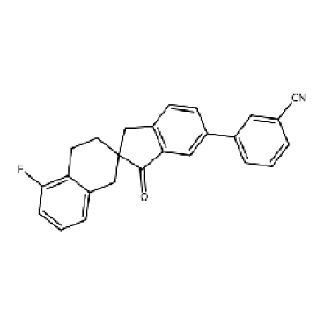 N#Cc1cccc(-c2ccc3c(c2)C(=O)C2(CCc4c(F)cccc4C2)C3)c1